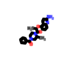 CC(Oc1cccc2nc(N)ccc12)C(=O)N1CCN(C(=O)c2ccccc2)CC1C